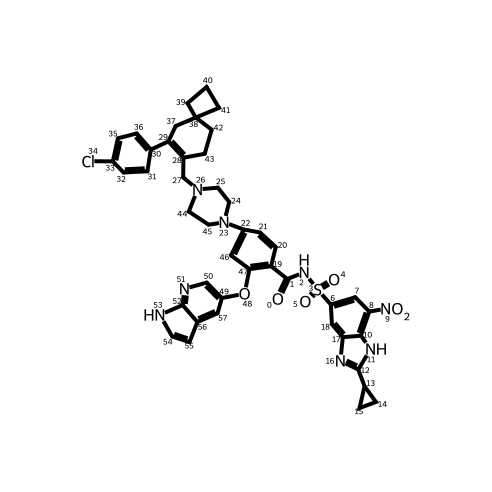 O=C(NS(=O)(=O)c1cc([N+](=O)[O-])c2[nH]c(C3CC3)nc2c1)c1ccc(N2CCN(CC3=C(c4ccc(Cl)cc4)CC4(CCC4)CC3)CC2)cc1Oc1cnc2[nH]ccc2c1